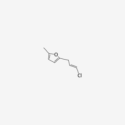 Cc1ccc(CC=CCl)o1